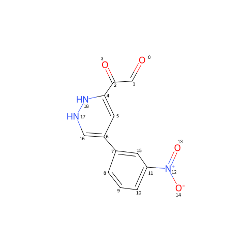 O=CC(=O)C1=CC(c2cccc([N+](=O)[O-])c2)=CNN1